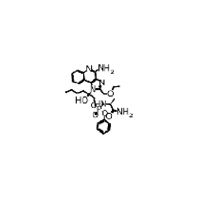 CCCCC(O)(COP(=O)(N[C@@H](C)C(N)=O)Oc1ccccc1)n1c(COCC)nc2c(N)nc3ccccc3c21